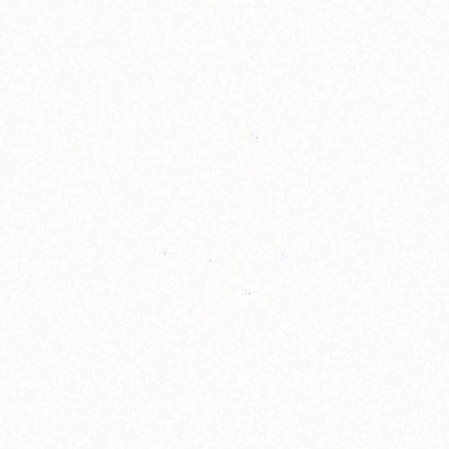 CCCCCn1c(O)nc2ncc(Cl)c(-c3ccccc3C(N)=O)c21